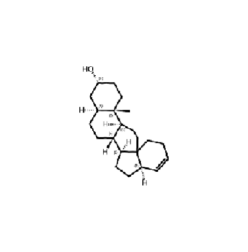 C[C@]12CC[C@@H](O)C[C@@H]1CC[C@H]1[C@@H]3CC[C@@H]4C=CCCC43CC[C@@H]12